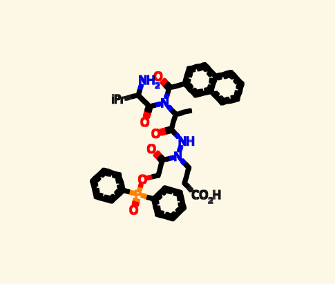 CC(C)C(N)C(=O)N(C(=O)c1ccc2ccccc2c1)C(C)C(=O)NN(CCC(=O)O)C(=O)COP(=O)(c1ccccc1)c1ccccc1